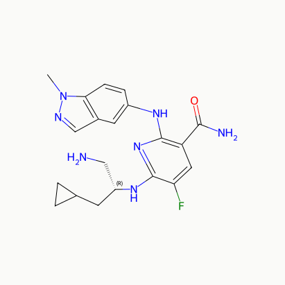 Cn1ncc2cc(Nc3nc(N[C@@H](CN)CC4CC4)c(F)cc3C(N)=O)ccc21